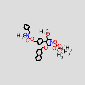 COCC1CN(OC(=O)OC(C)(C)C)CC(OCc2ccc3ccccc3c2)C1c1ccc(COC(=O)N(C)Cc2ccccc2)cc1